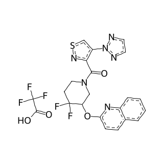 O=C(O)C(F)(F)F.O=C(c1nscc1-n1nccn1)N1CCC(F)(F)C(Oc2ccc3ccccc3n2)C1